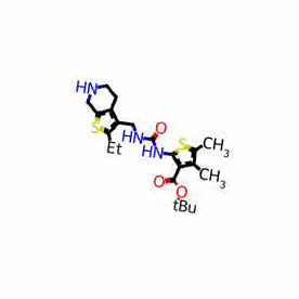 CCc1sc2c(c1CNC(=O)Nc1sc(C)c(C)c1C(=O)OC(C)(C)C)CCNC2